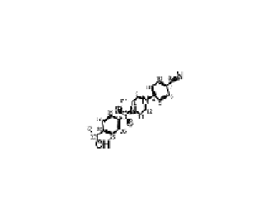 C[C@@H]1CN(c2ccc(C#N)cc2)CCN1S(=O)(=O)c1ccc([C@@H](C)O)cc1